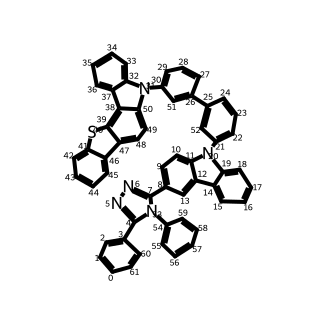 c1ccc(-c2nnc(-c3ccc4c(c3)c3ccccc3n4-c3cccc(-c4cccc(-n5c6ccccc6c6c7sc8ccccc8c7ccc65)c4)c3)n2-c2ccccc2)cc1